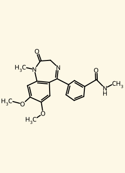 CNC(=O)c1cccc(C2=NCC(=O)N(C)c3cc(OC)c(OC)cc32)c1